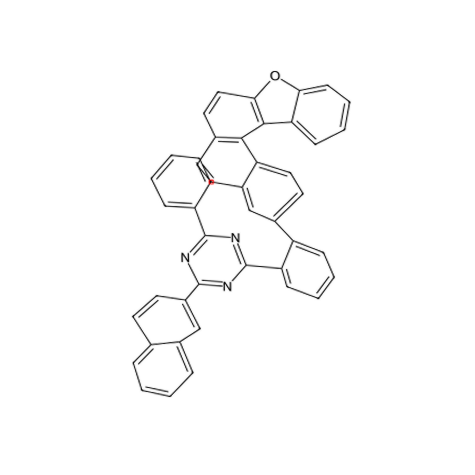 c1ccc(-c2nc(-c3ccc4ccccc4c3)nc(-c3ccccc3-c3ccc4c(ccc5ccc6oc7ccccc7c6c54)c3)n2)cc1